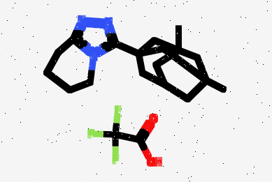 CC12CC3CC(C)(C1)CC(c1nnc4n1CCCC4)(C3)C2.O=C(O)C(F)(F)F